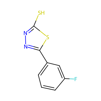 Fc1cccc(-c2nnc(S)s2)c1